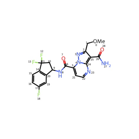 COCc1nn2c(C(=O)NC3CC(F)(F)c4ccc(F)cc43)ccnc2c1C(N)=O